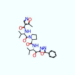 Cc1oncc1C(=O)N[C@H](C(=O)N1CCC[C@H]1C(=O)N[C@H](C(=O)c1nnc(-c2ccccc2)o1)C(C)C)C(C)C